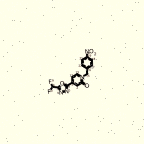 O=c1cc(-c2nnc(C(F)F)o2)ccn1Cc1ccc([N+](=O)[O-])cc1